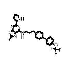 Cc1nc2c(NCCCc3ccc(-c4ccc(OC(F)(F)F)cc4)cc3)nc(-c3ccc[nH]3)nc2s1